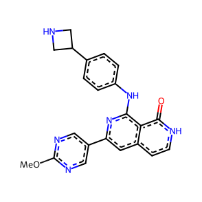 COc1ncc(-c2cc3cc[nH]c(=O)c3c(Nc3ccc(C4CNC4)cc3)n2)cn1